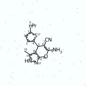 CCCc1ccc(C2C(C#N)=C(N)Oc3n[nH]c(C)c32)s1